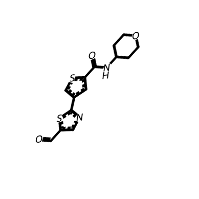 O=Cc1cnc(-c2csc(C(=O)NC3CCOCC3)c2)s1